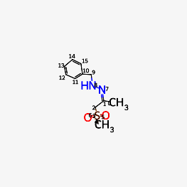 CC(CS(C)(=O)=O)=NNCc1ccccc1